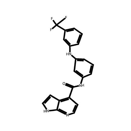 O=C(Nc1cccc(Nc2cccc(C(F)(F)F)c2)c1)c1ccnc2[nH]ccc12